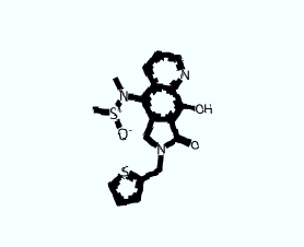 CN(c1c2c(c(O)c3ncccc13)C(=O)N(Cc1cccs1)C2)[S+](C)[O-]